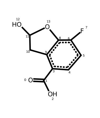 O=C(O)c1ccc(F)c2c1CC(O)O2